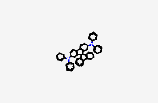 C1=CCCC(N(c2ccccc2)C2C=CC3=C(C2)C2(C4=C(CCC=C4)c4ccccc42)C2=C3C=CC(N(C3=CCCC=C3)c3ccccc3)C2)=C1